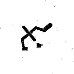 C=CC[N+](C)(C)CC(C)=O.[Br-]